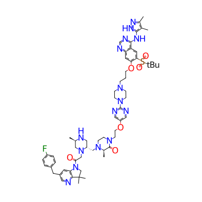 Cc1n[nH]c(Nc2ncnc3cc(OCCCN4CCN(c5ncc(OCCN6CCN(C[C@H]7CN[C@H](C)CN7CC(=O)N7CC(C)(C)c8ncc(Cc9ccc(F)cc9)cc87)[C@H](C)C6=O)cn5)CC4)c(S(=O)(=O)C(C)(C)C)cc23)c1C